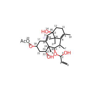 C=CC(O)O[C@@H]1C(C)C2=C(C)CC[C@@](O)(/C=C3/CC(OOC(C)=O)C[C@H](O)[C@]31C)C2(C)C